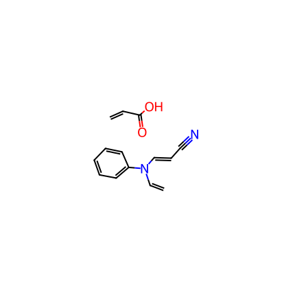 C=CC(=O)O.C=CN(C=CC#N)c1ccccc1